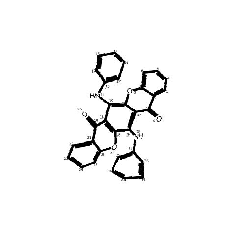 O=c1c2ccccc2oc2c(Nc3ccccc3)c3c(=O)c4ccccc4oc3c(Nc3ccccc3)c12